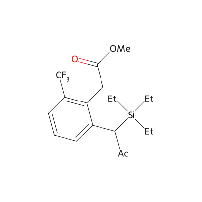 CC[Si](CC)(CC)C(C(C)=O)c1cccc(C(F)(F)F)c1CC(=O)OC